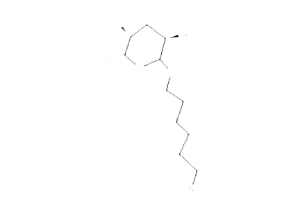 NCCCCCCOC1O[C@H](C(=O)O)[C@@H](O)[C@H](O)[C@H]1O